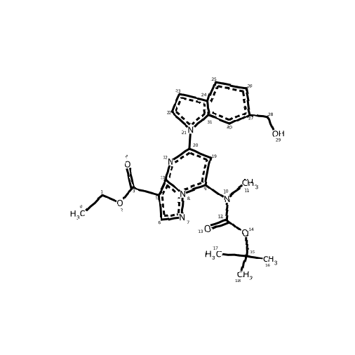 CCOC(=O)c1cnn2c(N(C)C(=O)OC(C)(C)C)cc(-n3ccc4ccc(CO)cc43)nc12